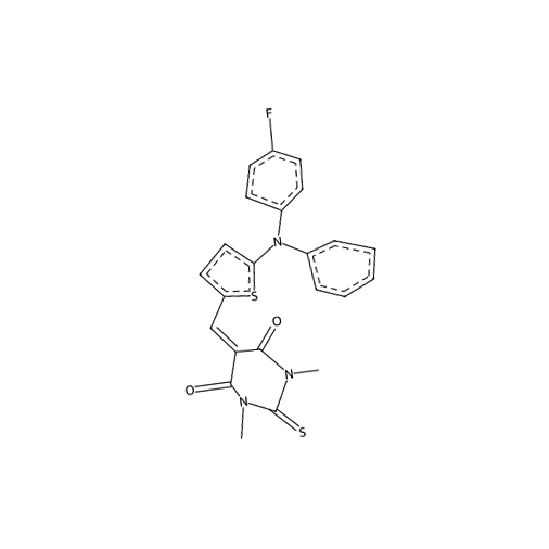 CN1C(=O)C(=Cc2ccc(N(c3ccccc3)c3ccc(F)cc3)s2)C(=O)N(C)C1=S